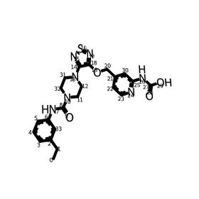 CCc1cccc(NC(=O)N2CCN(c3nsnc3OCc3ccnc(NC(=O)O)c3)CC2)c1